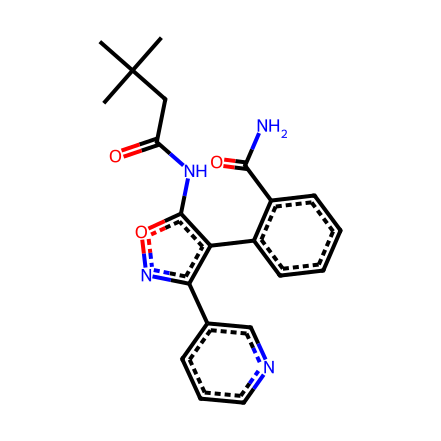 CC(C)(C)CC(=O)Nc1onc(-c2cccnc2)c1-c1ccccc1C(N)=O